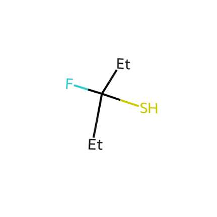 CCC(F)(S)CC